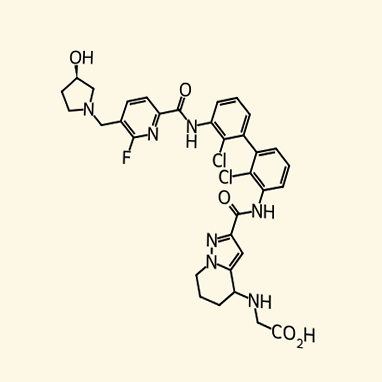 O=C(O)CNC1CCCn2nc(C(=O)Nc3cccc(-c4cccc(NC(=O)c5ccc(CN6CC[C@@H](O)C6)c(F)n5)c4Cl)c3Cl)cc21